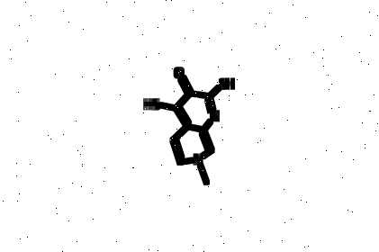 Cn1ccc2c(S)c(=O)c(S)nc-2c1